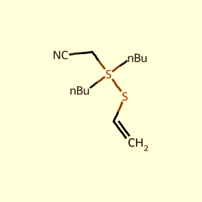 C=CSS(CC#N)(CCCC)CCCC